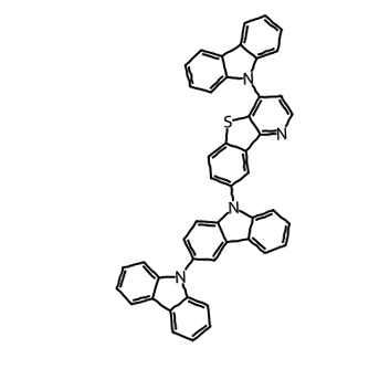 c1ccc2c(c1)c1ccccc1n2-c1ccc2c(c1)c1ccccc1n2-c1ccc2sc3c(-n4c5ccccc5c5ccccc54)ccnc3c2c1